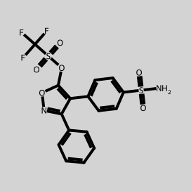 NS(=O)(=O)c1ccc(-c2c(-c3ccccc3)noc2OS(=O)(=O)C(F)(F)F)cc1